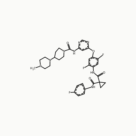 CN1CCN(C2CCN(C(=O)Nc3cc(Oc4cc(F)c(NC(=O)C5(C(=O)Nc6ccc(F)cc6)CC5)cc4F)ncn3)CC2)CC1